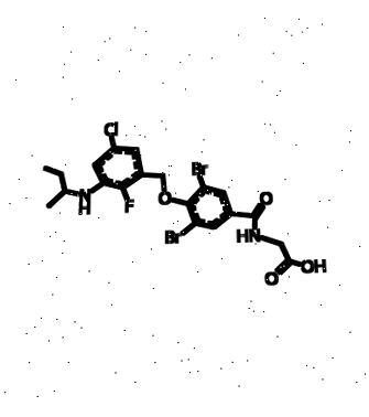 CCC(C)Nc1cc(Cl)cc(COc2c(Br)cc(C(=O)NCC(=O)O)cc2Br)c1F